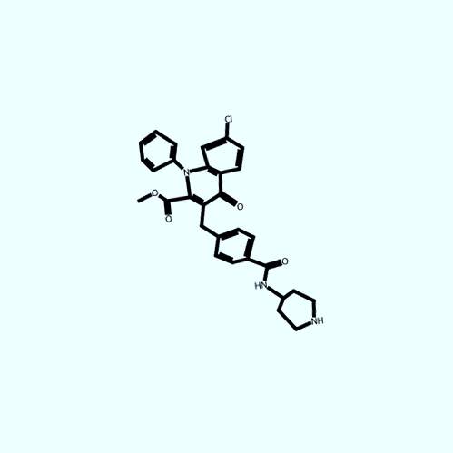 COC(=O)c1c(Cc2ccc(C(=O)NC3CCNCC3)cc2)c(=O)c2ccc(Cl)cc2n1-c1ccccc1